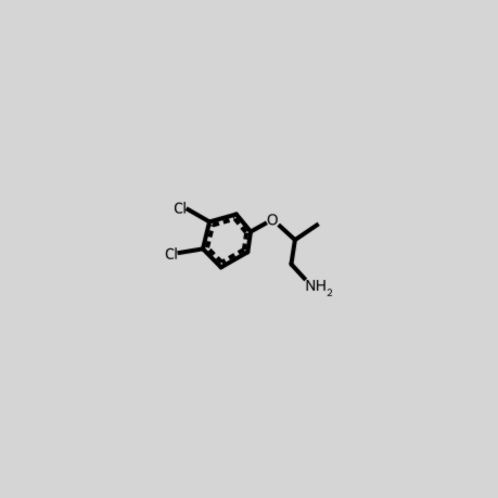 CC(CN)Oc1ccc(Cl)c(Cl)c1